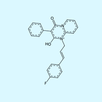 O=c1c(-c2ccccc2)c(O)[n+](C/C=C/c2ccc(F)cc2)c2ccccn12